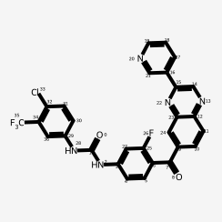 O=C(Nc1ccc(C(=O)c2ccc3ncc(-c4cccnc4)nc3c2)c(F)c1)Nc1ccc(Cl)c(C(F)(F)F)c1